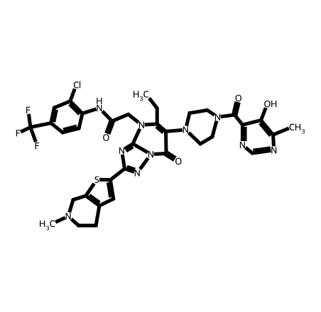 CCc1c(N2CCN(C(=O)c3ncnc(C)c3O)CC2)c(=O)n2nc(-c3cc4c(s3)CN(C)CC4)nc2n1CC(=O)Nc1ccc(C(F)(F)F)cc1Cl